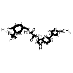 Cc1ccc(CNC(=O)C(=O)Nc2c[nH]c3ccc(-c4cnn(C)c4)nc23)cc1C(F)(F)F